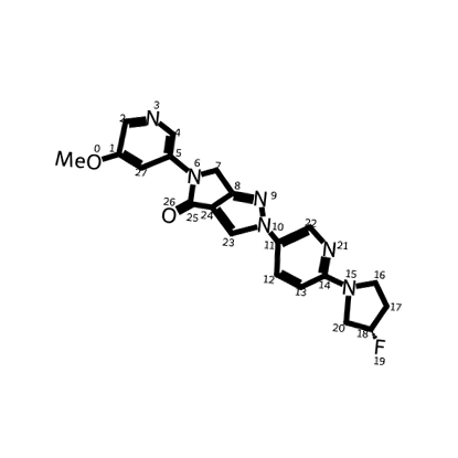 COc1cncc(N2Cc3nn(-c4ccc(N5CC[C@H](F)C5)nc4)cc3C2=O)c1